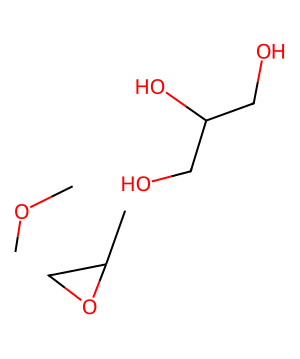 CC1CO1.COC.OCC(O)CO